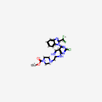 CC(C)(C)OC(=O)N1CCN(CCNc2nc(Cl)nc(-n3c(C(F)F)nc4ccccc43)c2C=N)CC1